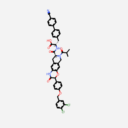 CC(C)C(=O)N1Cc2cc3c(cc2C[C@H]1C(=O)N[C@@H](Cc1ccc(-c2ccc(C#N)cc2)cc1)C(=O)O)NC(=O)C(c1ccc(OCc2ccc(Cl)c(Cl)c2)cc1)O3